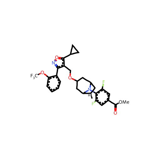 COC(=O)c1cc(F)c(N2C3CC(OCc4c(-c5ccccc5OC(F)(F)F)noc4C4CC4)CC2[C@H](C)C3)c(F)c1